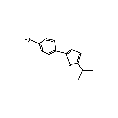 CC(C)c1ccc(-c2ccc(N)nc2)s1